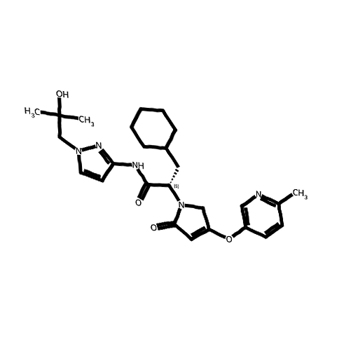 Cc1ccc(OC2=CC(=O)N([C@@H](CC3CCCCC3)C(=O)Nc3ccn(CC(C)(C)O)n3)C2)cn1